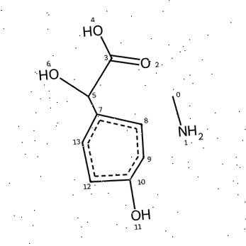 CN.O=C(O)C(O)c1ccc(O)cc1